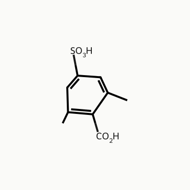 Cc1cc(S(=O)(=O)O)cc(C)c1C(=O)O